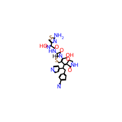 N#Cc1ccc(CC(C(=C2CCNC2=O)C2=C(C(=O)O)N3C(=O)[C@@H](NC(=O)C(=NO)c4csc(N)n4)[C@H]3SC2)c2ccncc2)cc1